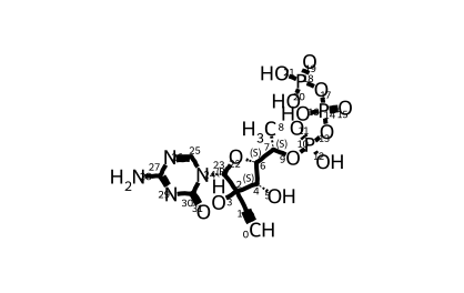 C#CC1(O)[C@@H](O)[C@@H]([C@H](C)OP(=O)(O)OP(=O)(O)OP(=O)(O)O)O[C@H]1n1cnc(N)nc1=O